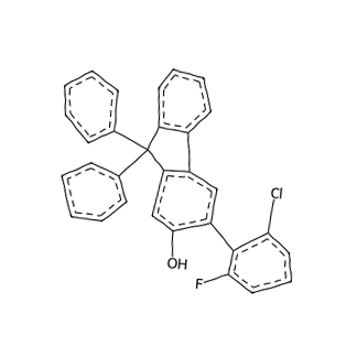 Oc1cc2c(cc1-c1c(F)cccc1Cl)-c1ccccc1C2(c1ccccc1)c1ccccc1